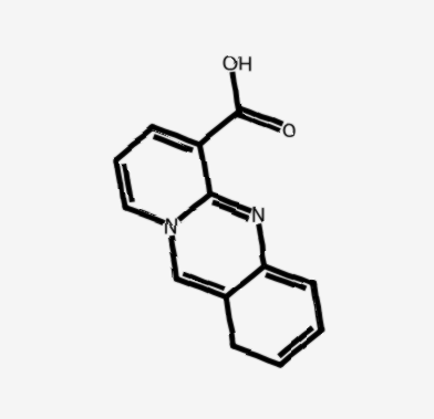 O=C(O)C1=CC=CN2C=C3CC=CC=C3N=C12